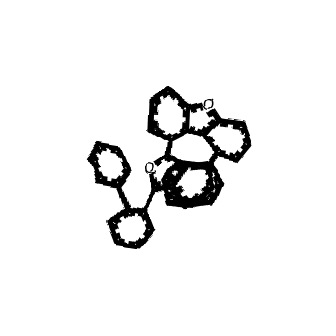 c1ccc(-c2ccccc2-c2oc(-c3cccc4oc5cccc(-c6ccccc6)c5c34)c3ccccc23)cc1